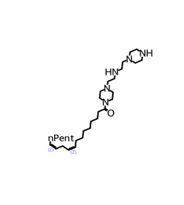 CCCCC/C=C\C/C=C\CCCCCCCC(=O)N1CCN(CCNCCN2CCNCC2)CC1